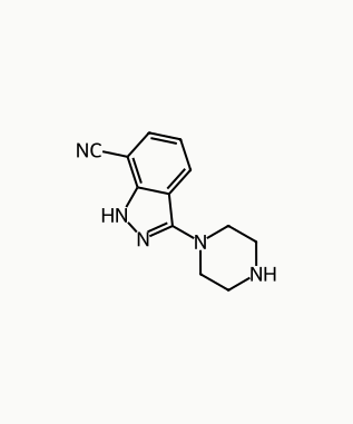 N#Cc1cccc2c(N3CCNCC3)n[nH]c12